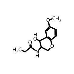 CCC(=O)NC1COc2ccc(OC)cc2C1O